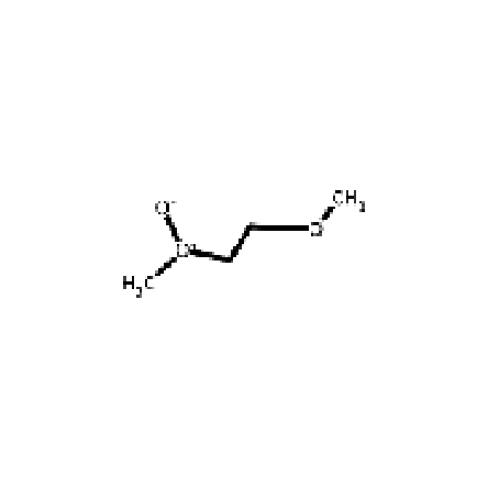 COCC[O+](C)[O-]